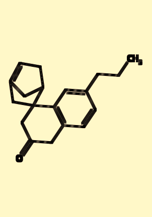 CCCc1ccc2c(c1)C1(CC(=O)C2)CC2=CCC1C2